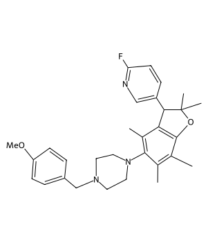 COc1ccc(CN2CCN(c3c(C)c(C)c4c(c3C)C(c3ccc(F)nc3)C(C)(C)O4)CC2)cc1